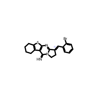 N=c1c2c3c(sc2nc2n1CC/C2=C\c1ccccc1Br)CCCC3